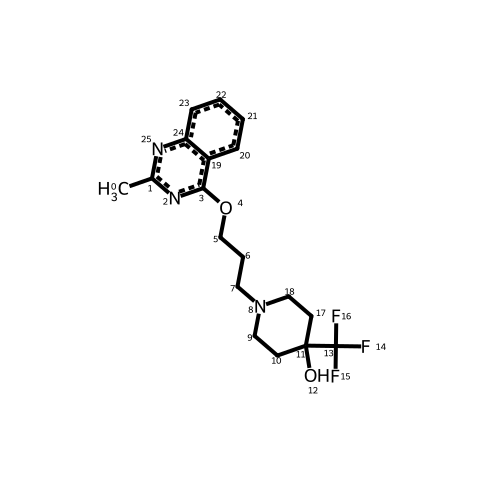 Cc1nc(OCCCN2CCC(O)(C(F)(F)F)CC2)c2ccccc2n1